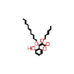 CCC=CCCOc1c(OCCCCCCCCCC)c2c(O)cccc2oc1=O